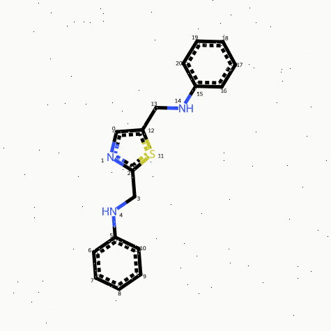 [c]1nc(CNc2ccccc2)sc1CNc1ccccc1